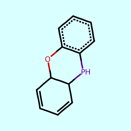 C1=CC2Oc3ccccc3PC2C=C1